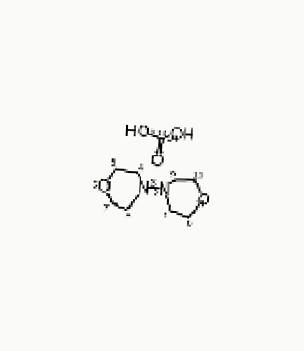 C1CN(N2CCOCC2)CCO1.O=C(O)O